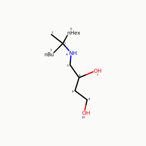 CCCCCCC(C)(CCCC)NCC(O)CCO